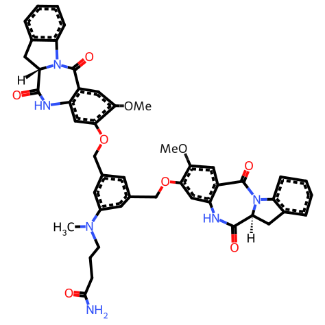 COc1cc2c(cc1OCc1cc(COc3cc4c(cc3OC)C(=O)N3c5ccccc5C[C@H]3C(=O)N4)cc(N(C)CCCC(N)=O)c1)NC(=O)[C@@H]1Cc3ccccc3N1C2=O